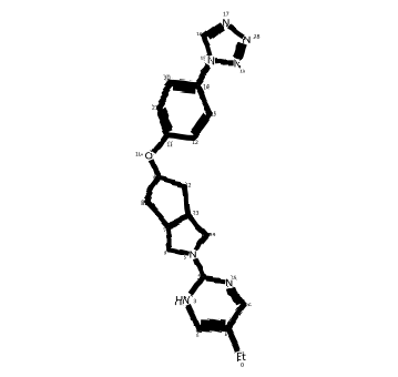 CCC1=CNC(N2CC3CC(Oc4ccc(-n5cnnn5)cc4)CC3C2)N=C1